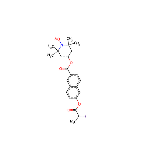 CC(I)C(=O)Oc1ccc2cc(C(=O)OC3CC(C)(C)N(O)C(C)(C)C3)ccc2c1